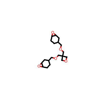 C1CC2OC2CC1COCC1(COCC2CCC3OC3C2)COC1